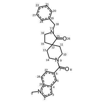 Cn1ccc2cc(C(=O)N3CCC4(CC3)CCN(Cc3ccccc3)C4=O)ccc21